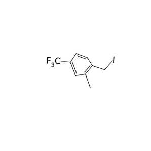 Cc1cc(C(F)(F)F)ccc1CI